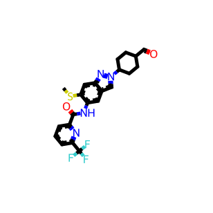 CSc1cc2nn(C3CCC(C=O)CC3)cc2cc1NC(=O)c1cccc(C(F)(F)F)n1